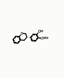 COc1ccc([C@H]2COc3ccccc3C2)cc1O